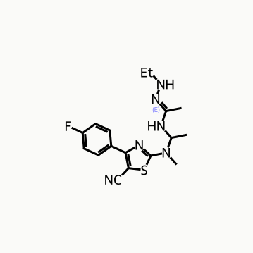 CCN/N=C(\C)NC(C)N(C)c1nc(-c2ccc(F)cc2)c(C#N)s1